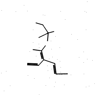 C=CC(/C=C/C)=C(\C)OC(C)(C)CO